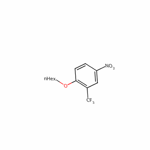 CCCCCCOc1ccc([N+](=O)[O-])cc1C(F)(F)F